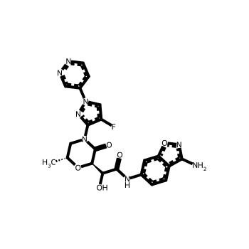 C[C@@H]1CN(c2nn(-c3ccnnc3)cc2F)C(=O)[C@@H](C(O)C(=O)Nc2ccc3c(N)noc3c2)O1